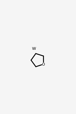 C1CCOC1.[W]